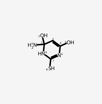 NC1(O)C=C(O)N=C(S)N1